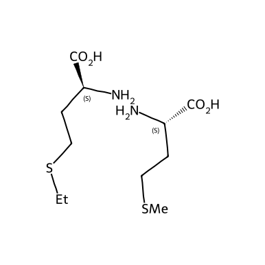 CCSCC[C@H](N)C(=O)O.CSCC[C@H](N)C(=O)O